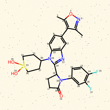 Cc1noc(C)c1-c1ccc2c(c1)nc(C1CCC(=O)N1c1ccc(F)c(F)c1)n2C1CCS(O)(O)CC1